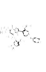 COc1ccc([N+](=O)[O-])cc1OCc1c(-c2ccc(OC(=O)c3ccncc3)cc2OC)ccc2c1C(C)=CC(C)(C)N2